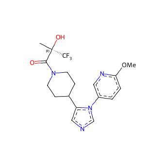 COc1ccc(-n2cncc2C2CCN(C(=O)[C@@](C)(O)C(F)(F)F)CC2)cn1